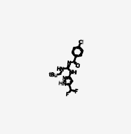 CC(C)(C)CN/C(=N/C(=O)c1ccc(Cl)cc1)Nc1cc(C(F)F)[nH]n1